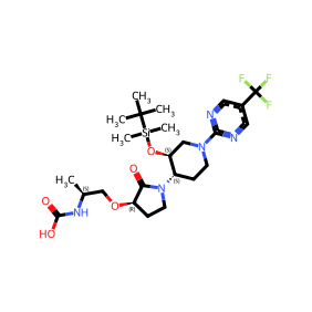 C[C@@H](CO[C@@H]1CCN([C@H]2CCN(c3ncc(C(F)(F)F)cn3)C[C@@H]2O[Si](C)(C)C(C)(C)C)C1=O)NC(=O)O